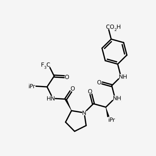 CC(C)C(NC(=O)[C@@H]1CCCN1C(=O)[C@@H](NC(=O)Nc1ccc(C(=O)O)cc1)C(C)C)C(=O)C(F)(F)F